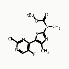 Cc1nc(N(C)C(=O)OC(C)(C)C)sc1-c1nc(Cl)ncc1F